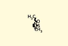 CCCC(=O)n1ccn(C)c1=S